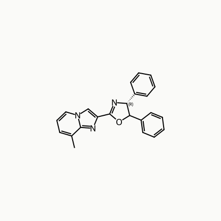 Cc1cccn2cc(C3=N[C@H](c4ccccc4)C(c4ccccc4)O3)nc12